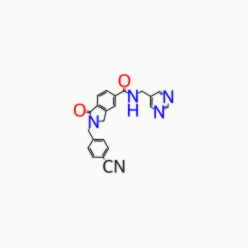 N#Cc1ccc(CN2Cc3cc(C(=O)NCc4cncnc4)ccc3C2=O)cc1